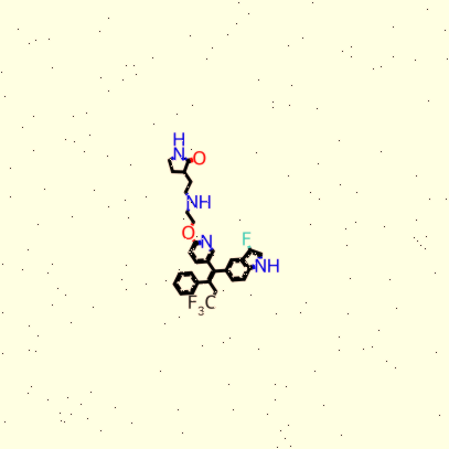 O=C1NCCC1CCNCCOc1ccc(/C(=C(/CC(F)(F)F)c2ccccc2)c2ccc3[nH]cc(F)c3c2)cn1